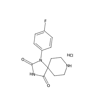 Cl.O=C1NC(=O)C2(CCNCC2)N1c1ccc(F)cc1